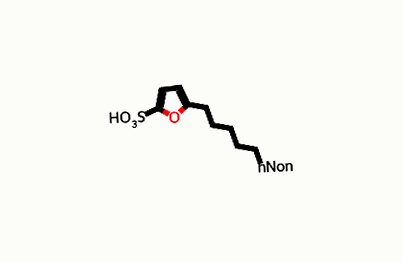 CCCCCCCCCCCCCCc1ccc(S(=O)(=O)O)o1